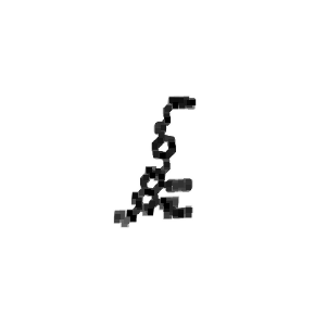 CCCC(C)Nc1nc(N)nc2c1[C@H](C=O)N(Cc1ccc(OCCNC)cc1)N=C2